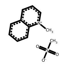 CS(=O)(=O)[O-].C[n+]1cccc2ccccc21